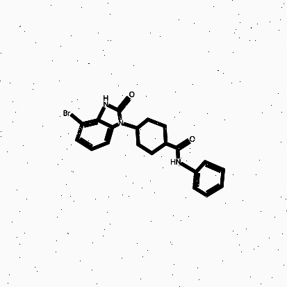 O=C(Nc1ccccc1)C1CCC(n2c(=O)[nH]c3c(Br)cccc32)CC1